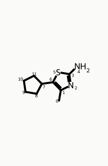 Cc1nc(N)sc1C1CCCC1